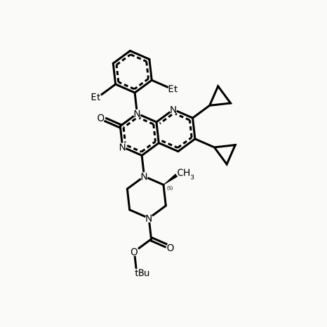 CCc1cccc(CC)c1-n1c(=O)nc(N2CCN(C(=O)OC(C)(C)C)C[C@@H]2C)c2cc(C3CC3)c(C3CC3)nc21